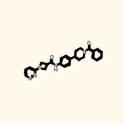 O=C(Nc1ccc(C2CCN(C(=O)c3ccccc3)CC2)cc1)C1CN(c2cccnn2)C1